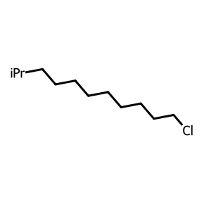 CC(C)CCCCCCCCCCl